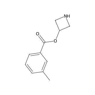 Cc1cccc(C(=O)OC2CNC2)c1